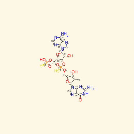 C[C@@H]1[C@H](O)C(COP(=O)(S)O[C@@H]2C(COP(=O)(O)S)O[C@@H](n3cnc4c(N)ncnc43)[C@@H]2O)O[C@H]1n1cnc2c(=O)[nH]c(N)nc21